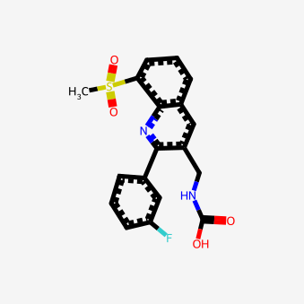 CS(=O)(=O)c1cccc2cc(CNC(=O)O)c(-c3cccc(F)c3)nc12